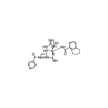 N=C1N[C@H]2[C@H](CNC(=O)c3ccccn3)NC(=N)N3CC(NC(=O)c4cccc5c4CCCC5)[C@@H](O)C23N1